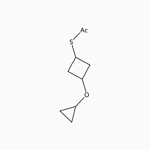 CC(=O)SC1CC(OC2CC2)C1